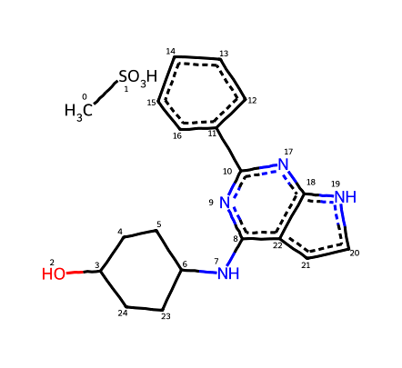 CS(=O)(=O)O.OC1CCC(Nc2nc(-c3ccccc3)nc3[nH]ccc23)CC1